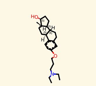 CCN(CC)CCCOc1ccc2c(c1)CC[C@@H]1[C@@H]2CC[C@]2(C)[C@@H](O)CC[C@@H]12